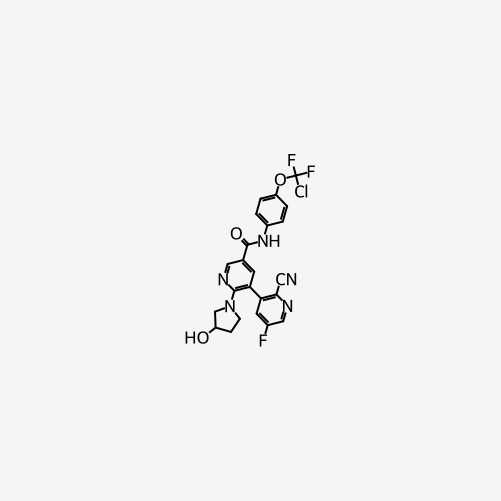 N#Cc1ncc(F)cc1-c1cc(C(=O)Nc2ccc(OC(F)(F)Cl)cc2)cnc1N1CCC(O)C1